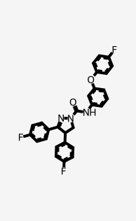 O=C(Nc1cccc(Oc2ccc(F)cc2)c1)N1CC(c2ccc(F)cc2)C(c2ccc(F)cc2)=N1